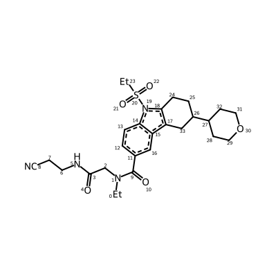 CCN(CC(=O)NCCC#N)C(=O)c1ccc2c(c1)c1c(n2S(=O)(=O)CC)CCC(C2CCOCC2)C1